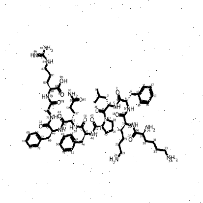 CC(C)C[C@H](NC(=O)[C@H](Cc1ccccc1)NC(=O)[C@H](CCCCN)NC(=O)[C@@H](N)CCCCN)C(=O)N1CCC[C@H]1C(=O)N[C@@H](Cc1ccccc1)C(=O)N[C@@H](CCC(N)=O)C(=O)N[C@@H](Cc1ccccc1)C(=O)NCC(=O)N[C@@H](CCCNC(=N)N)C(=O)O